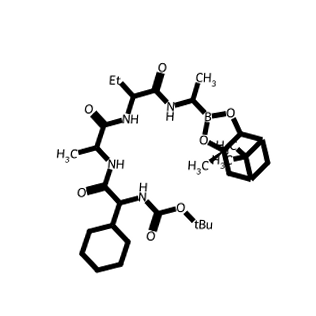 CCC(NC(=O)C(C)NC(=O)C(NC(=O)OC(C)(C)C)C1CCCCC1)C(=O)NC(C)B1OC2C3CC(C[C@]2(C)O1)C3(C)C